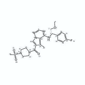 COC[C@@H](Nc1ncnn2cc(C(=O)N3CCN(S(C)(=O)=O)CC3)c(C)c12)c1ccc(F)cc1